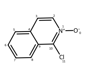 [O-][n+]1ccc2ccccc2c1Cl